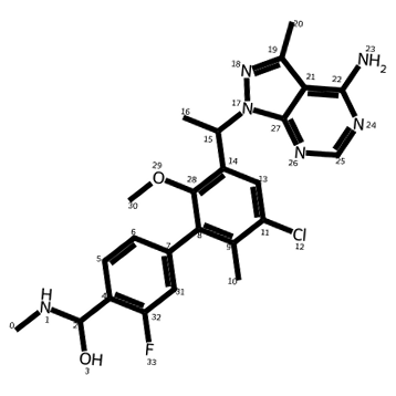 CNC(O)c1ccc(-c2c(C)c(Cl)cc(C(C)n3nc(C)c4c(N)ncnc43)c2OC)cc1F